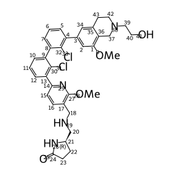 COc1cc(-c2cccc(-c3cccc(-c4ccc(CNC[C@H]5CCC(=O)N5)c(OC)n4)c3Cl)c2Cl)cc2c1CN(CCO)CC2